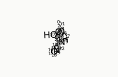 CCCCOc1ccc(C)c2nc(-c3cc4ccccn4c3C)cc(C(=O)O)c12